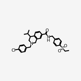 CCS(=O)(=O)c1ccc(CNC(=O)c2ccc3c(c2)CN(Cc2ccc(Cl)cc2)CC3C(C)C)cc1